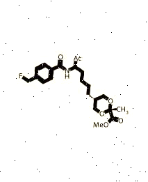 COC(=O)[C@]1(C)OC[C@H](CCCCC(NC(=O)c2ccc(CF)cc2)C(C)=O)CO1